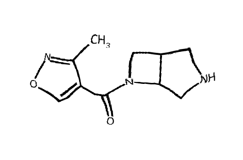 Cc1nocc1C(=O)N1CC2CNCC21